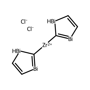 [CH]1=[CH][BiH][C]([Zr+2][C]2=[Bi][CH]=[CH][BiH]2)=[Bi]1.[Cl-].[Cl-]